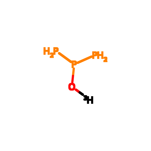 [3H]OP(P)P